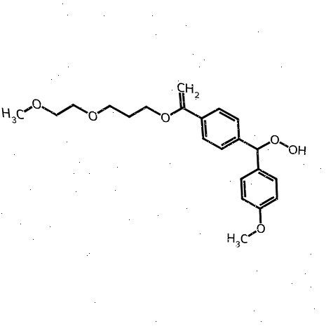 C=C(OCCCOCCOC)c1ccc(C(OO)c2ccc(OC)cc2)cc1